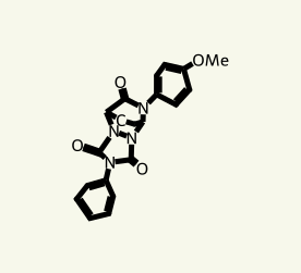 COc1ccc(N2C(=O)C3CCC2n2c(=O)n(-c4ccccc4)c(=O)n23)cc1